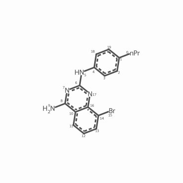 CCCc1ccc(Nc2nc(N)c3cccc(Br)c3n2)cc1